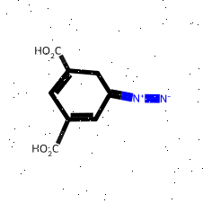 [N-]=[N+]=C1C=C(C(=O)O)C=C(C(=O)O)C1